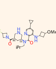 COC1CC(Nc2cc(C3CC3)cnc2C(=O)N(CC(C)C)[C@@H]2CNC[C@H](C(=O)N3CC(F)C3)C2)C1